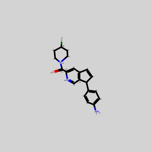 Nc1ccc(C2C=Cc3cc(C(=O)N4CCC(F)CC4)ncc32)cc1